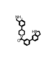 NCc1cccc(C2CCN(C(=O)c3cccc(-c4ccc5c(c4)BCC5)c3)CC2)c1